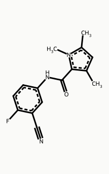 Cc1cc(C)n(C)c1C(=O)Nc1ccc(F)c(C#N)c1